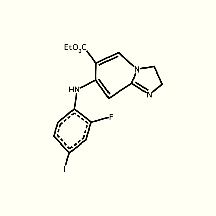 CCOC(=O)C1=CN2CCN=C2C=C1Nc1ccc(I)cc1F